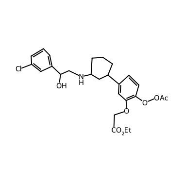 CCOC(=O)COc1cc(C2CCCC(NCC(O)c3cccc(Cl)c3)C2)ccc1OOC(C)=O